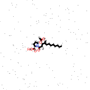 CCCCCCCCC(C)[C@H](OC(C)=O)[C@H](C)C(=O)N1CCC[C@H]1C(=O)O